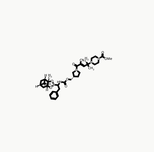 COC(=O)N1CCN(C(C)(C)C=C(C#N)C(=O)N2CC[C@H](COC(=O)NC(Cc3ccccc3)B3O[C@@H]4C[C@@H]5C[C@@H](C5(C)C)[C@]4(C)O3)C2)CC1